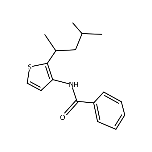 CC(C)CC(C)c1sccc1NC(=O)c1ccccc1